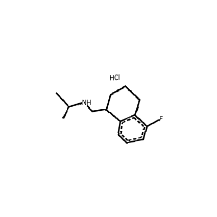 CC(C)NCC1CCCc2c(F)cccc21.Cl